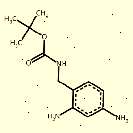 CC(C)(C)OC(=O)NCc1ccc(N)cc1N